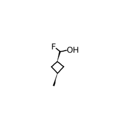 C[C@H]1C[C@@H](C(O)F)C1